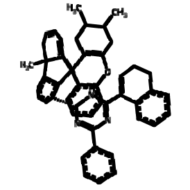 CC1CC2=C(CC1C)C1(C3=CC=CCC3(C)c3cccc([C@H]4N=C(c5ccccc5)N=C(C5=CCCc6ccccc65)N4)c31)c1ccccc1O2